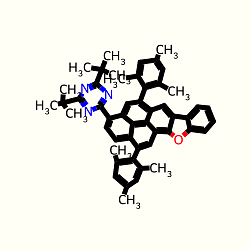 Cc1cc(C)c(-c2cc3c4oc5ccccc5c4cc4c(-c5c(C)cc(C)cc5C)cc5c(-c6nc(C(C)(C)C)nc(C(C)(C)C)n6)ccc2c5c43)c(C)c1